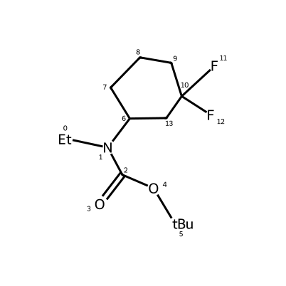 CCN(C(=O)OC(C)(C)C)C1CCCC(F)(F)C1